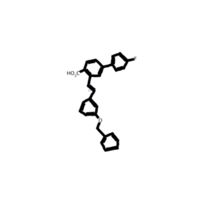 O=C(O)c1ccc(-c2ccc(F)cc2)cc1/C=C/c1cccc(OCc2ccccc2)c1